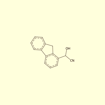 N#CC(O)c1cccc2c1Cc1ccccc1-2